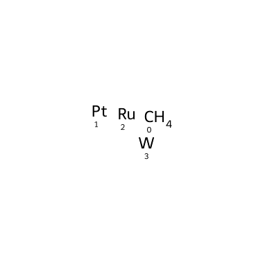 C.[Pt].[Ru].[W]